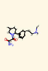 CC1CCC(c2cccc(CCN(C)C)c2)N(C(=O)C(N)=O)C1